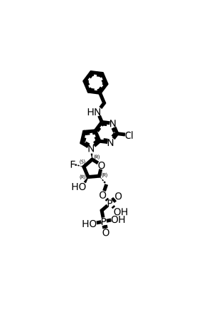 O=P(O)(O)CP(=O)(O)OC[C@H]1O[C@@H](n2ccc3c(NCc4ccccc4)nc(Cl)nc32)[C@@H](F)[C@@H]1O